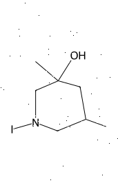 CC1CN(I)CC(C)(O)C1